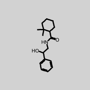 CC1(C)CCCCC1C(=O)NCC(O)c1ccccc1